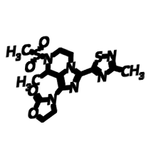 Cc1nsc(-c2nc(N3CCOC3=O)c3n2CCN(S(C)(=O)=O)C3C)n1